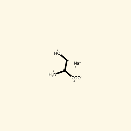 NC(CO)C(=O)[O-].[Na+]